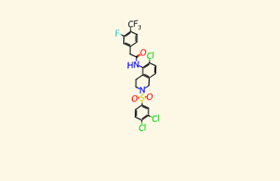 O=C(Cc1ccc(C(F)(F)F)c(F)c1)Nc1c(Cl)ccc2c1CCN(S(=O)(=O)c1ccc(Cl)c(Cl)c1)C2